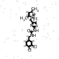 CC[N+]1(Cc2csc(NC(=O)NCc3ccc(Cl)c(Cl)c3)n2)OC(C)C=C1C